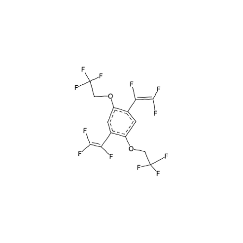 FC(F)=C(F)c1cc(OCC(F)(F)F)c(C(F)=C(F)F)cc1OCC(F)(F)F